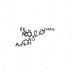 CCn1ncc2c(NC3CCN(C(C)=O)CC3)c(C(=O)NCc3ccc(OC)nc3)cnc21